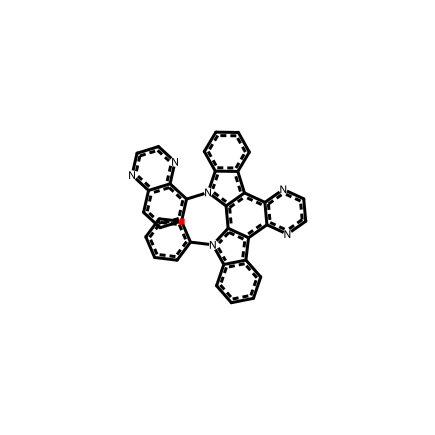 c1ccc(-n2c3ccccc3c3c4nccnc4c4c5ccccc5n(-c5cccc6nccnc56)c4c32)cc1